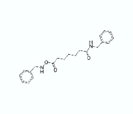 O=C(CCCCCC(=O)ONCc1ccccc1)NCc1ccccc1